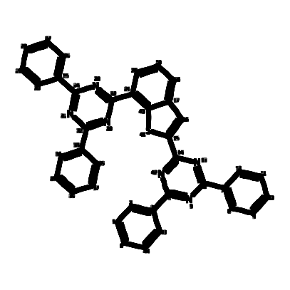 c1ccc(-c2nc(-c3ccccc3)nc(-c3cc4cccc(-c5nc(-c6ccccc6)nc(-c6ccccc6)n5)c4s3)n2)cc1